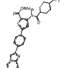 COC(=O)c1sc(-c2ccc(-c3cn4ccccc4n3)cc2)cc1N(C(=O)C1CCC(C(F)(F)F)CC1)C(C)C